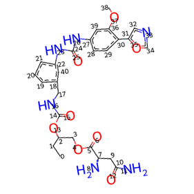 CCC(COC(=O)[C@H](N)CC(N)=O)OC(=O)NCc1cccc(NC(=O)Nc2ccc(-c3cnco3)c(OC)c2)c1